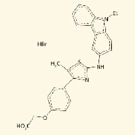 Br.CCn1c2ccccc2c2cc(Nc3nc(-c4ccc(OCC(=O)O)cc4)c(C)s3)ccc21